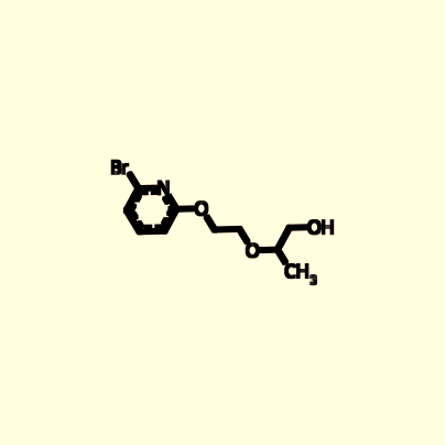 CC(CO)OCCOc1cccc(Br)n1